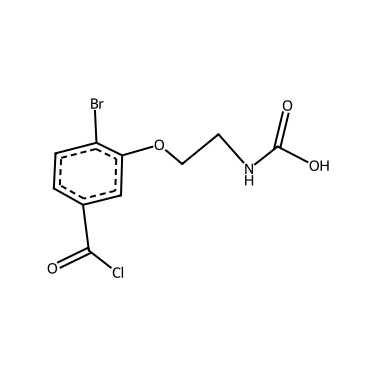 O=C(O)NCCOc1cc(C(=O)Cl)ccc1Br